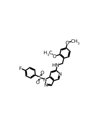 COc1ccc(CNc2cc3c(cn2)cnn3S(=O)(=O)c2ccc(F)cc2)c(OC)c1